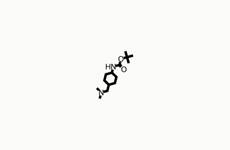 CN(C)CC1CCC(NC(=O)OC(C)(C)C)CC1